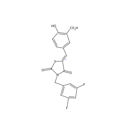 O=C(O)c1cc(/C=C2\SC(=O)N(Cc3cc(F)cc(F)c3)C2=O)ccc1O